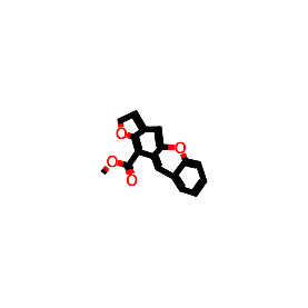 COC(=O)c1c2c(cc3c1=Cc1ccccc1O3)=CCO2